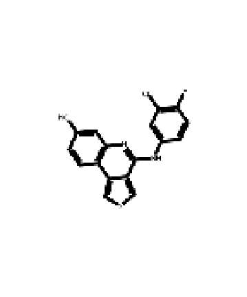 N#Cc1ccc2c(c1)nc(Nc1ccc(F)c(Cl)c1)c1cscc12